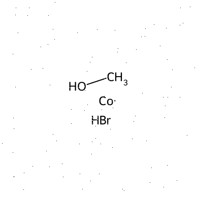 Br.CO.[Co]